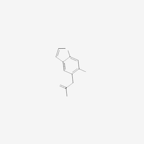 CC(=O)Cc1cc2ccoc2cc1F